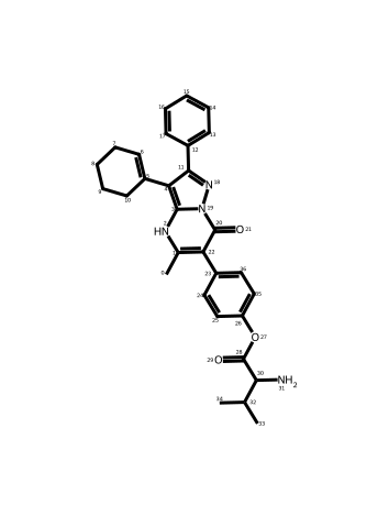 Cc1[nH]c2c(C3=CCCCC3)c(-c3ccccc3)nn2c(=O)c1-c1ccc(OC(=O)C(N)C(C)C)cc1